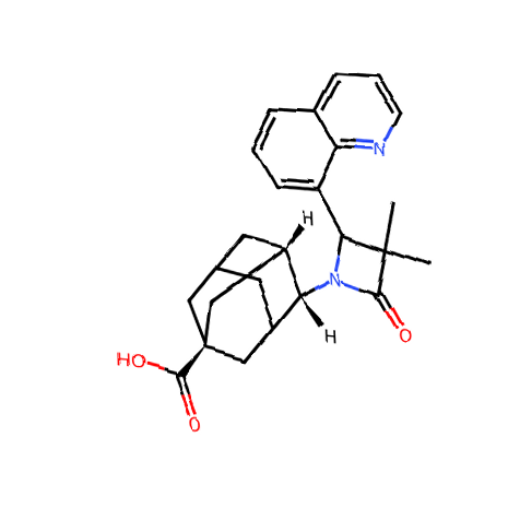 CC1(C)C(=O)N([C@@H]2C3CC4C[C@H]2C[C@@](C(=O)O)(C4)C3)C1c1cccc2cccnc12